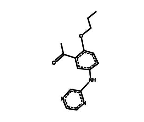 CCCOc1ccc(Nc2cnccn2)cc1C(C)=O